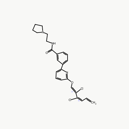 C=C/C=C(Cl)\C(Cl)=C\Oc1cccc(-c2cccc(C(=O)NCCN3CCCC3)c2)n1